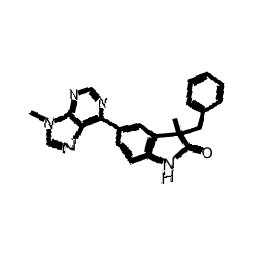 Cn1cnc2c(-c3ccc4c(c3)C(C)(Cc3ccccc3)C(=O)N4)ncnc21